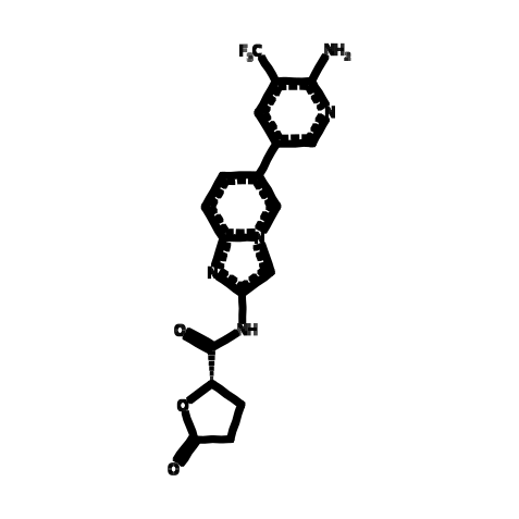 Nc1ncc(-c2ccc3nc(NC(=O)[C@@H]4CCC(=O)O4)cn3c2)cc1C(F)(F)F